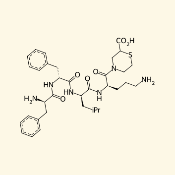 CC(C)C[C@@H](NC(=O)[C@@H](Cc1ccccc1)NC(=O)[C@H](N)Cc1ccccc1)C(=O)N[C@H](CCCN)C(=O)N1CCSC(C(=O)O)C1